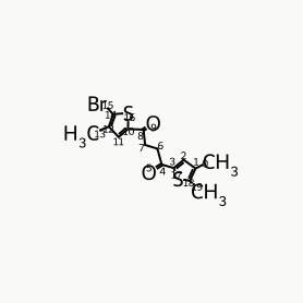 Cc1cc(C(=O)CCC(=O)c2cc(C)c(Br)s2)sc1C